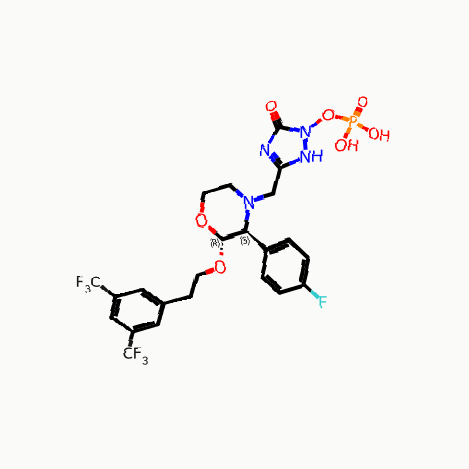 O=c1nc(CN2CCO[C@@H](OCCc3cc(C(F)(F)F)cc(C(F)(F)F)c3)[C@@H]2c2ccc(F)cc2)[nH]n1OP(=O)(O)O